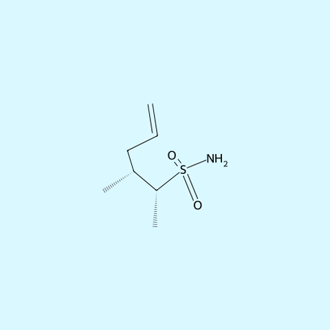 C=CC[C@@H](C)[C@@H](C)S(N)(=O)=O